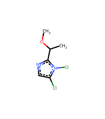 COC(C)c1ncc(Cl)n1Cl